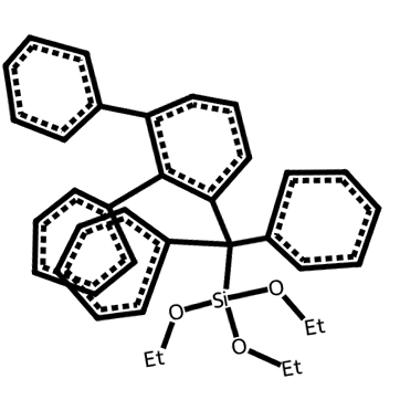 CCO[Si](OCC)(OCC)C(c1ccccc1)(c1ccccc1)c1cccc(-c2ccccc2)c1-c1ccccc1